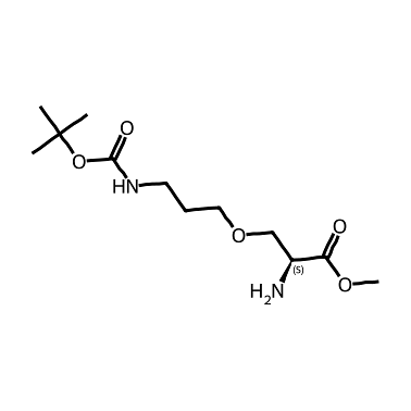 COC(=O)[C@@H](N)COCCCNC(=O)OC(C)(C)C